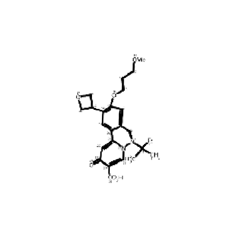 CCC(C)(C)N1Cc2cc(OCCCOC)c(C3COC3)cc2-c2cc(=O)c(C(=O)O)cn21